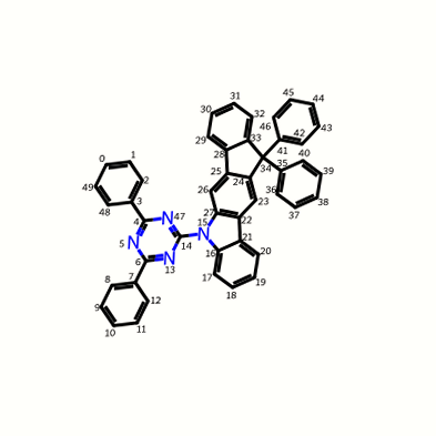 c1ccc(-c2nc(-c3ccccc3)nc(-n3c4ccccc4c4cc5c(cc43)-c3ccccc3C5(c3ccccc3)c3ccccc3)n2)cc1